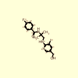 CC(C)(CNc1ncc(CO)cc1I)NC(=O)c1ccc(F)cc1